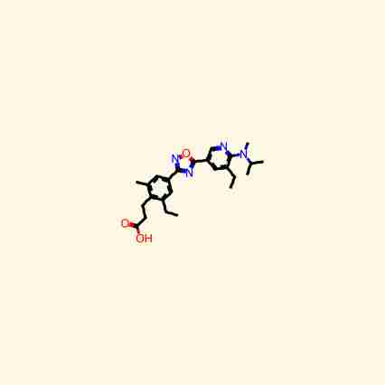 CCc1cc(-c2nc(-c3cc(C)c(CCC(=O)O)c(CC)c3)no2)cnc1N(C)C(C)C